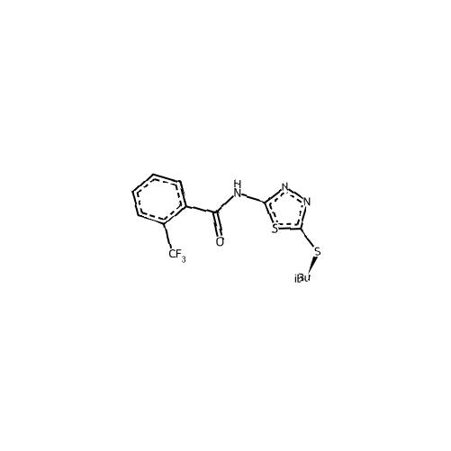 CC[C@H](C)Sc1nnc(NC(=O)c2ccccc2C(F)(F)F)s1